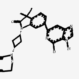 CCn1cnc2cc(-c3ccc4c(c3)N([C@H]3C[C@@H](N5CCCCC5)C3)C(=O)C4(C)C)nc(Cl)c21